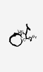 CNC(=O)[C@@H](NC1CCCC/C=C\CCCCC1)C(C)C